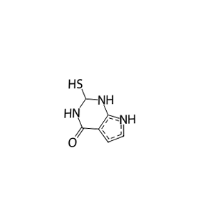 O=C1NC(S)Nc2[nH]ccc21